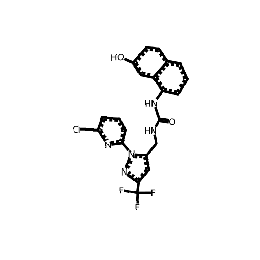 O=C(NCc1cc(C(F)(F)F)nn1-c1cccc(Cl)n1)Nc1cccc2ccc(O)cc12